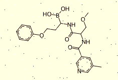 COCC(NC(=O)c1cncc(C)c1)C(=O)NC(CCOc1ccccc1)B(O)O